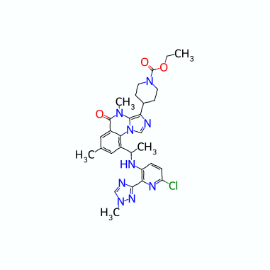 CCOC(=O)N1CCC(c2ncn3c4c(C(C)Nc5ccc(Cl)nc5-c5ncn(C)n5)cc(C)cc4c(=O)n(C)c23)CC1